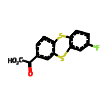 O=C(O)C(=O)c1ccc2c(c1)Sc1cc(F)ccc1S2